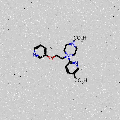 O=C(O)c1ccc([N+]2(CCOc3cccnc3)CCN(C(=O)O)CC2)nc1